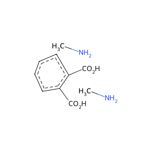 CN.CN.O=C(O)c1ccccc1C(=O)O